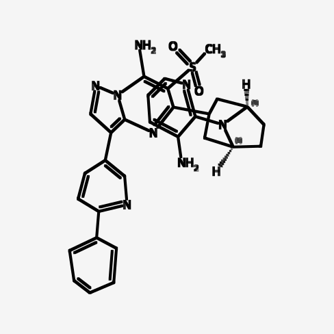 CS(=O)(=O)c1c(C2C[C@H]3CC[C@@H](C2)N3c2ncccc2N)nc2c(-c3ccc(-c4ccccc4)nc3)cnn2c1N